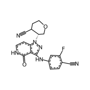 N#Cc1ccc(Nc2nn([C@H]3COCCC3C#N)c3cc[nH]c(=O)c23)cc1F